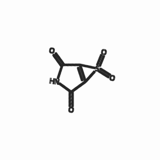 O=C1NC(=O)C2=C1S2(=O)=O